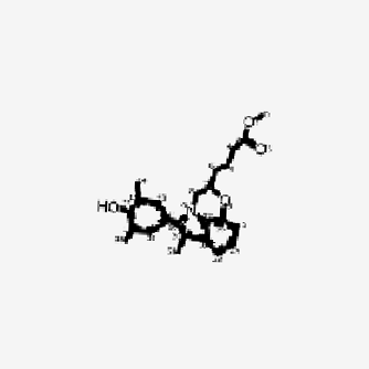 COC(=O)CCCC1Cn2c(-c3cc(C)c(O)c(C)c3)c(C)c3cccc(c32)O1